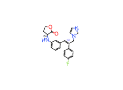 O=C1OCC[C@@H]1Nc1cccc(/C=C(/Cn2ccnc2)c2ccc(F)cc2)c1